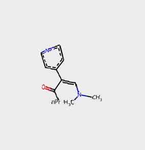 CCCC(=O)/C(=C\N(C)C)c1ccncc1